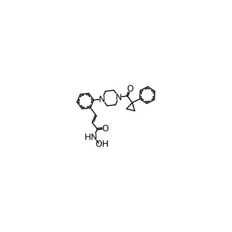 O=C(C=Cc1ccccc1N1CCN(C(=O)C2(c3ccccc3)CC2)CC1)NO